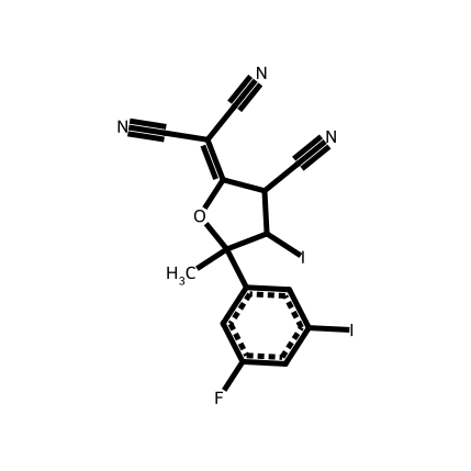 CC1(c2cc(F)cc(I)c2)OC(=C(C#N)C#N)C(C#N)C1I